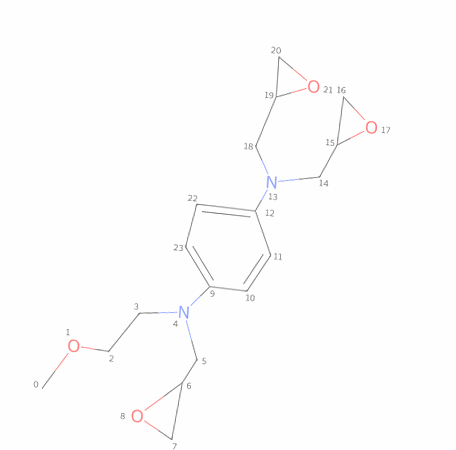 COCCN(CC1CO1)c1ccc(N(CC2CO2)CC2CO2)cc1